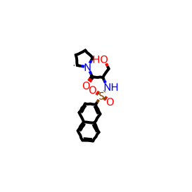 O=C(C(CO)NS(=O)(=O)c1ccc2ccccc2c1)N1[CH]CCC1